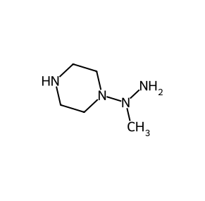 CN(N)N1CCNCC1